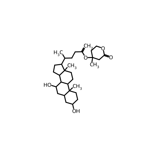 C=C(CCC(C)C1CCC2C3C(O)CC4CC(O)CCC4(C)C3CCC12C)OC1(C)CCOC(=O)C1